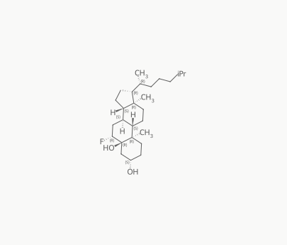 CC(C)CCC[C@@H](C)[C@H]1CC[C@H]2[C@@H]3C[C@@H](F)[C@@]4(O)C[C@@H](O)CC[C@]4(C)[C@H]3CC[C@]12C